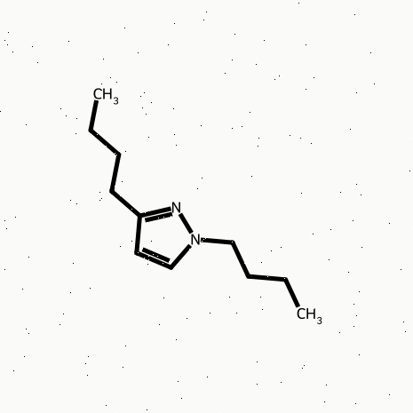 CCCCc1ccn(CCCC)n1